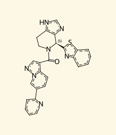 O=C(c1cnn2cc(-c3ccccn3)ccc12)N1CCc2[nH]cnc2[C@H]1c1nc2ccccc2s1